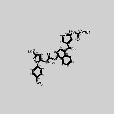 CCNC(=O)Nc1cc(C(=O)c2ccc(NC(=O)Nc3cc(C(C)(C)C)nn3-c3ccc(C)cc3)c3ccccc23)ccn1